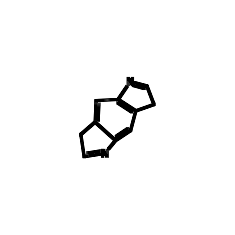 C1=Nc2cc3c(cc2C1)N=CC3